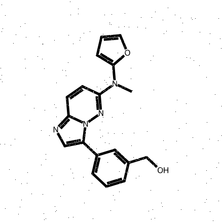 CN(c1ccc2ncc(-c3cccc(CO)c3)n2n1)c1ccco1